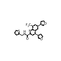 O=C(NCc1cccs1)c1cc(-c2ccoc2)c2cc(-c3ccoc3)cc(C(F)(F)F)c2n1